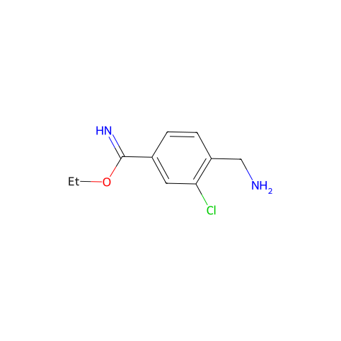 CCOC(=N)c1ccc(CN)c(Cl)c1